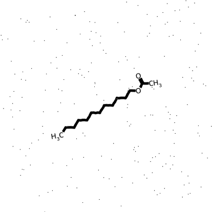 CCCCCCCCCCC[CH]OC(C)=O